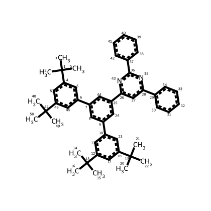 CC(C)(C)c1cc(-c2cc(-c3cc(C(C)(C)C)cc(C(C)(C)C)c3)cc(-c3cc(-c4ccccc4)nc(-c4ccccc4)n3)c2)cc(C(C)(C)C)c1